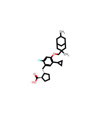 CC1CC2CC(C1)CC(C)(COc1cc(F)c(C[C@@H]3CCC[C@H]3C(=O)O)cc1C1CC1)C2